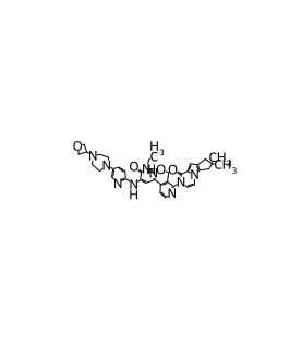 CCn1nc(-c2ccnc(-n3ccn4c5c(cc4c3=O)CC(C)(C)C5)c2CO)cc(Nc2ccc(N3CCN(C4COC4)CC3)cn2)c1=O